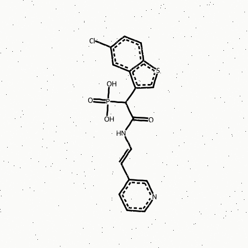 O=C(N/C=C/c1cccnc1)C(c1csc2ccc(Cl)cc12)P(=O)(O)O